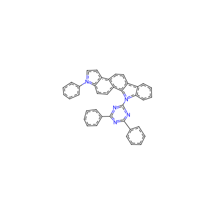 c1ccc(-c2nc(-c3ccccc3)nc(-n3c4ccccc4c4ccc5c6ccn(-c7ccccc7)c6ccc5c43)n2)cc1